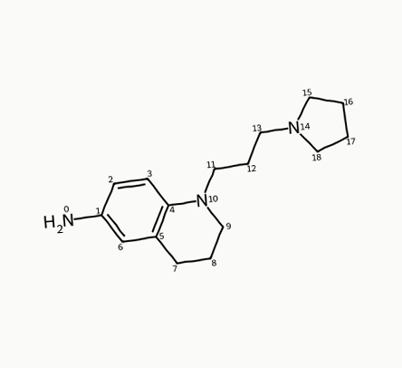 Nc1ccc2c(c1)CCCN2CCCN1CCCC1